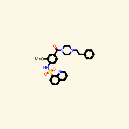 COc1cc(C(=O)N2CCN(CCc3ccccc3)CC2)ccc1NS(=O)(=O)c1cccc2cccnc12